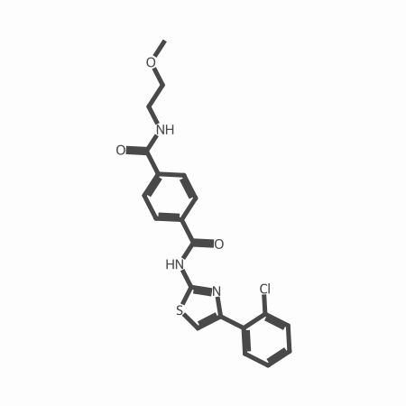 COCCNC(=O)c1ccc(C(=O)Nc2nc(-c3ccccc3Cl)cs2)cc1